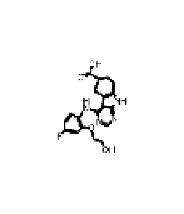 O=C(O)C1CCc2[nH]c3ncnc(Nc4ccc(F)cc4OCCO)c3c2C1